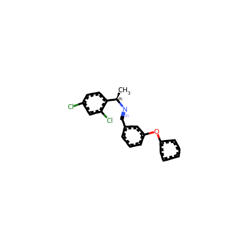 C[C@@H](/N=C/c1cccc(Oc2ccccc2)c1)c1ccc(Cl)cc1Cl